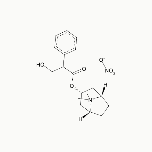 C[N+]1(C)[C@@H]2CC[C@H]1C[C@@H](OC(=O)C(CO)c1ccccc1)C2.O=[N+]([O-])[O-]